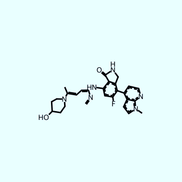 C=N/C(=C\C=C(/C)N1CCC(O)CC1)Nc1cc(F)c(-c2ccnc3c2ccn3C)c2c1C(=O)NC2